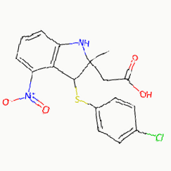 CC1(CC(=O)O)Nc2cccc([N+](=O)[O-])c2C1Sc1ccc(Cl)cc1